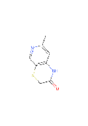 Cc1cc2c(cn1)SCC(=O)N2